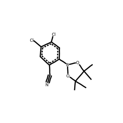 CC1(C)OB(c2cc(Cl)c(Cl)cc2C#N)OC1(C)C